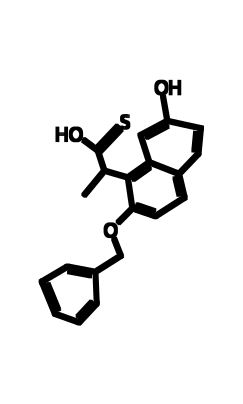 CC(C(O)=S)c1c(OCc2ccccc2)ccc2ccc(O)cc12